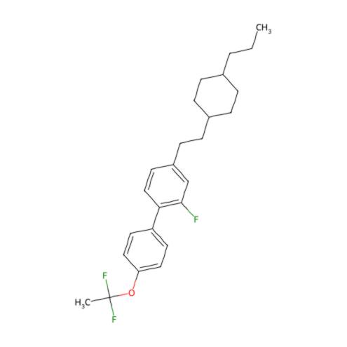 CCCC1CCC(CCc2ccc(-c3ccc(OC(C)(F)F)cc3)c(F)c2)CC1